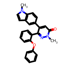 Cn1nc(-c2ccccc2Oc2ccccc2)c(-c2ccc3c(ccn3C)c2)cc1=O